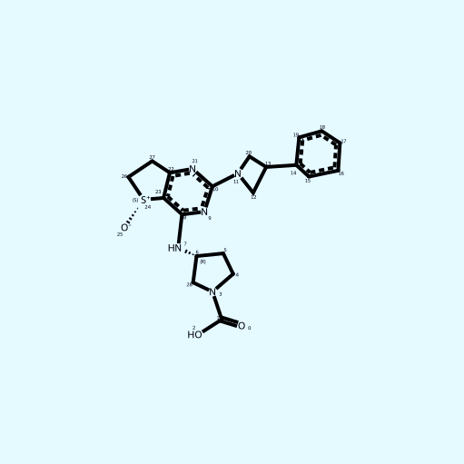 O=C(O)N1CC[C@@H](Nc2nc(N3CC(c4ccccc4)C3)nc3c2[S@+]([O-])CC3)C1